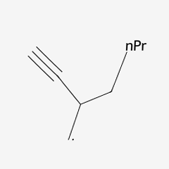 C#CC([CH2])CCCC